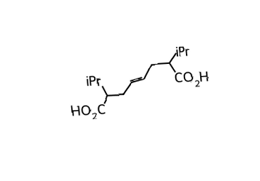 CC(C)C(C/C=C/CC(C(=O)O)C(C)C)C(=O)O